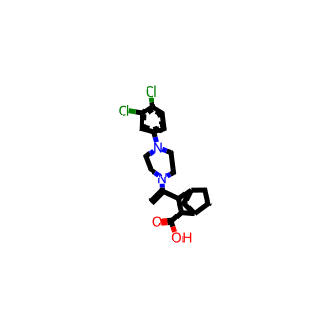 C=C(C1C2CCC(C2)C1C(=O)O)N1CCN(c2ccc(Cl)c(Cl)c2)CC1